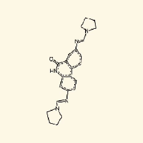 O=c1[nH]c2cc(N=CN3CCCC3)ccc2c2ccc(N=CN3CCCC3)cc12